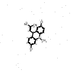 CN1c2ccc(Cl)cc2C(C=C(C#N)C#N)c2ccc(Cl)cc21